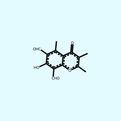 Cc1oc2c(C=O)c(O)c(C=O)c(C)c2c(=O)c1C